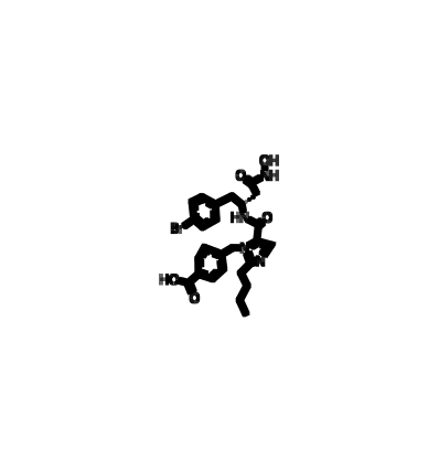 CCCCc1ncc(C(=O)N[C@@H](CC(=O)NO)Cc2ccc(Br)cc2)n1Cc1ccc(C(=O)O)cc1